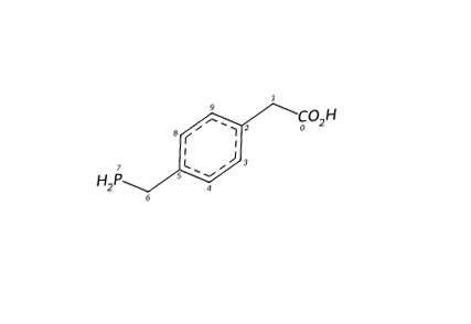 O=C(O)Cc1ccc(CP)cc1